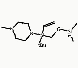 C=C[Si](CO[SiH](C)C)(N1CCN(C)CC1)C(C)(C)C